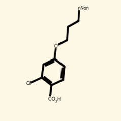 CCCCCCCCCCCCOc1ccc(C(=O)O)c(Cl)c1